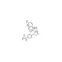 CC1=NC(C(=O)Nc2ccc(F)nc2F)C(c2ccc(C(F)(F)F)cc2)C1